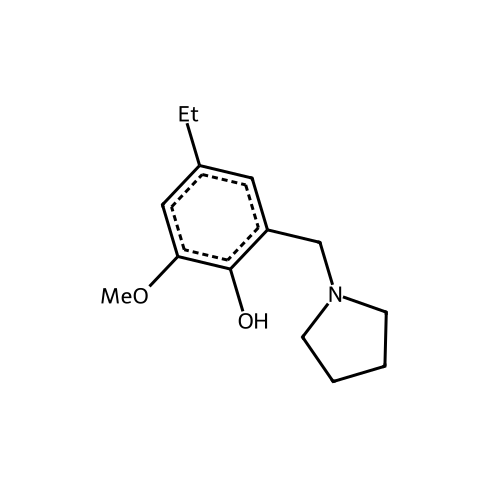 CCc1cc(CN2CCCC2)c(O)c(OC)c1